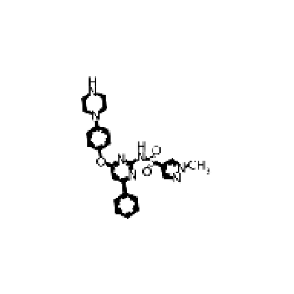 Cn1cc(S(=O)(=O)Nc2nc(Oc3ccc(N4CCNCC4)cc3)cc(-c3ccccc3)n2)cn1